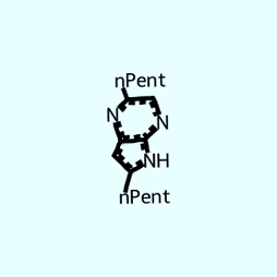 CCCCCc1cnc2[nH]c(CCCCC)cc2n1